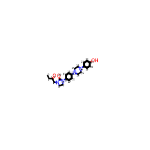 CCC(=O)CN1CCN(c2ccc(N3CCN(c4ccc(O)cc4)CC3)cc2)C1=O